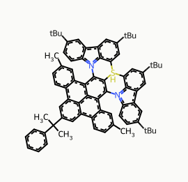 Cc1ccc2c(c1)c1c3c4c(c5c6cc(C)ccc6c6cc(C(C)(C)c7ccccc7)cc2c6c15)-n1c2ccc(C(C)(C)C)cc2c2cc(C(C)(C)C)cc(c21)[SH]4c1cc(C(C)(C)C)cc2c4cc(C(C)(C)C)ccc4n-3c12